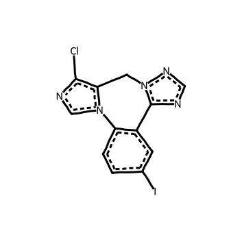 Clc1ncn2c1Cn1ncnc1-c1cc(I)ccc1-2